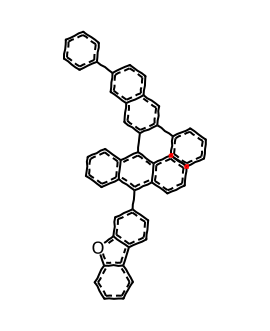 c1ccc(-c2ccc3cc(-c4ccccc4)c(-c4c5ccccc5c(-c5ccc6c(c5)oc5ccccc56)c5ccccc45)cc3c2)cc1